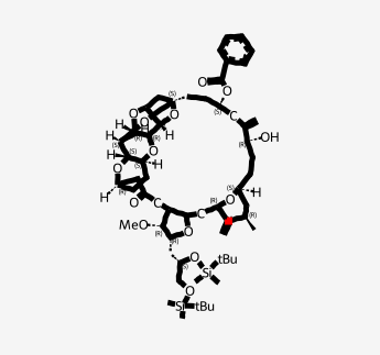 C=C1C[C@@H](OC(=O)c2ccccc2)CC[C@@]23CC4O[C@H]5[C@@H](O2)[C@H]2O[C@H](CC[C@@H]2O[C@H]5[C@H]4O3)CC(=O)CC2C(C[C@H]3O[C@@H](CC[C@H]1O)C[C@@H](C)C3=C)O[C@H](C[C@@H](CO[Si](C)(C)C(C)(C)C)O[Si](C)(C)C(C)(C)C)[C@@H]2OC